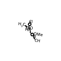 C#CCOc1ccc(CCNC(=O)C(OC#CC)c2ccc(Cl)cc2)cc1OC